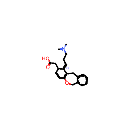 CN(C)CC/C=C1/C2=C(C=CC1CC(=O)O)OCc1ccccc1C2